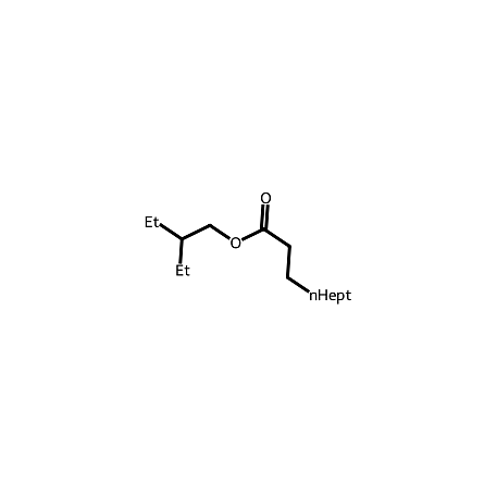 CCCCCCCCCC(=O)OCC(CC)CC